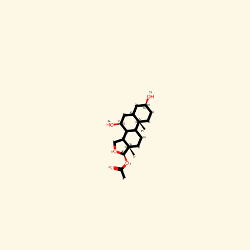 CC(=O)O[C@H]1OCC2C3C(CC[C@@]21C)[C@@]1(C)CC[C@H](O)CC1C[C@@H]3O